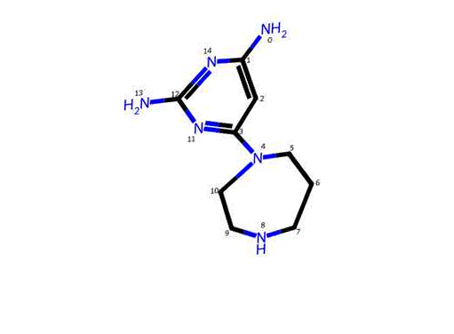 Nc1cc(N2CCCNCC2)nc(N)n1